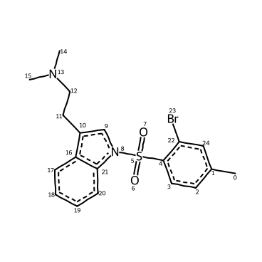 Cc1ccc(S(=O)(=O)n2cc(CCN(C)C)c3ccccc32)c(Br)c1